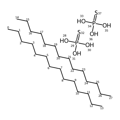 CCCCCCCCCCCCCC.CCCCCCCCCCCCCC.OP(O)(O)=S.OP(O)(O)=S